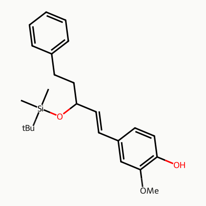 COc1cc(/C=C/C(CCc2ccccc2)O[Si](C)(C)C(C)(C)C)ccc1O